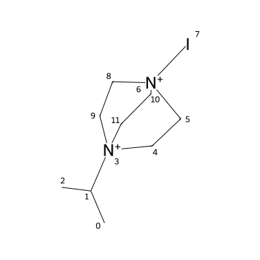 CC(C)[N+]12CC[N+](I)(CC1)CC2